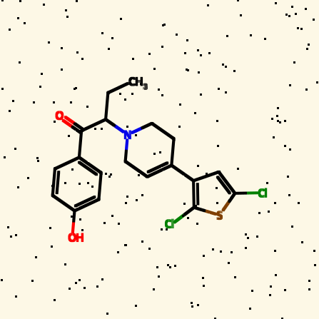 CCC(C(=O)c1ccc(O)cc1)N1CC=C(c2cc(Cl)sc2Cl)CC1